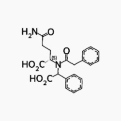 NC(=O)CC[C@@H](C(=O)O)N(C(=O)Cc1ccccc1)C(C(=O)O)c1ccccc1